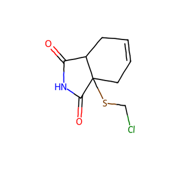 O=C1NC(=O)C2(SCCl)CC=CCC12